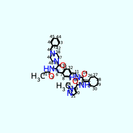 CCC(=O)N/C(=C/c1ccc(CNC(=O)[C@@H](NC(=O)c2ccnn2C)C2CCCCCC2)cc1)C(=O)N1CCN(Cc2ccccc2)CC1